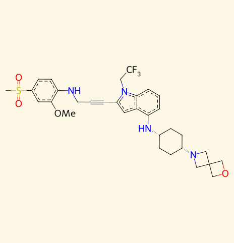 COc1cc(S(C)(=O)=O)ccc1NCC#Cc1cc2c(N[C@H]3CC[C@@H](N4CC5(COC5)C4)CC3)cccc2n1CC(F)(F)F